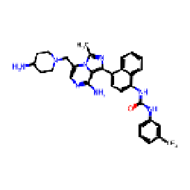 Cc1nc(-c2ccc(NC(=O)Nc3cccc(C(F)(F)F)c3)c3ccccc23)c2c(N)ncc(CN3CCC(N)CC3)n12